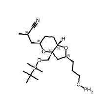 C[C@@H](C#N)C[C@H]1CC[C@@H]2O[C@@H](CCCOP)C[C@]2(CO[Si](C)(C)C(C)(C)C)O1